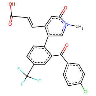 Cn1cc(-c2ccc(C(F)(F)F)cc2C(=O)c2ccc(Cl)cc2)c(/C=C/C(=O)O)cc1=O